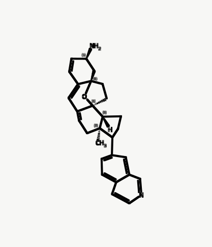 C[C@]12CC=C3C=C4C=C[C@@H](N)C[C@]45CC[C@]3(O5)[C@@H]1CCC2c1ccc2ccncc2c1